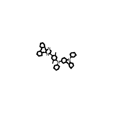 Cc1cc(N(c2ccccc2)c2ccc3c(c2)c2ccccc2n3-c2ccccc2)c(C)cc1-c1cnc2c3ccccc3c3ccccc3c2n1